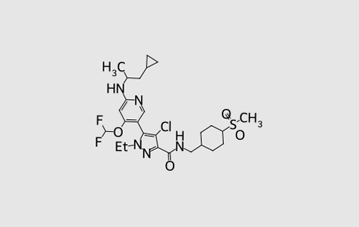 CCn1nc(C(=O)NCC2CCC(S(C)(=O)=O)CC2)c(Cl)c1-c1cnc(NC(C)CC2CC2)cc1OC(F)F